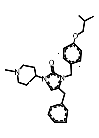 CC(C)COc1ccc(Cn2c(Cc3ccccc3)cn(C3CCN(C)CC3)c2=O)cc1